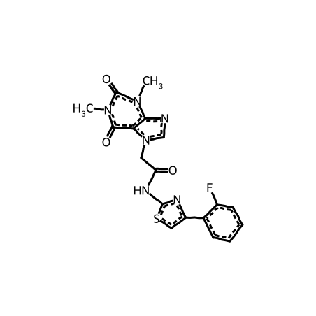 Cn1c(=O)c2c(ncn2CC(=O)Nc2nc(-c3ccccc3F)cs2)n(C)c1=O